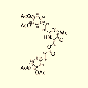 COC(=O)[C@@H](COC(=O)/C=C/c1ccc(OC(C)=O)c(OC(C)=O)c1)NC(=O)/C=C/c1ccc(OC(C)=O)c(OC(C)=O)c1